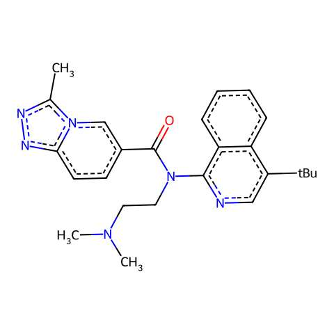 Cc1nnc2ccc(C(=O)N(CCN(C)C)c3ncc(C(C)(C)C)c4ccccc34)cn12